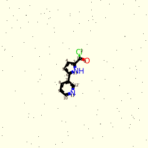 O=C(Cl)c1ccc(-c2cccnc2)[nH]1